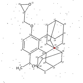 CC(C)c1ccc(OCC2CO2)c(C23CC4CC(CC(C4)C2)C3)c1C12CC3CC(CC(C3)C1)C2